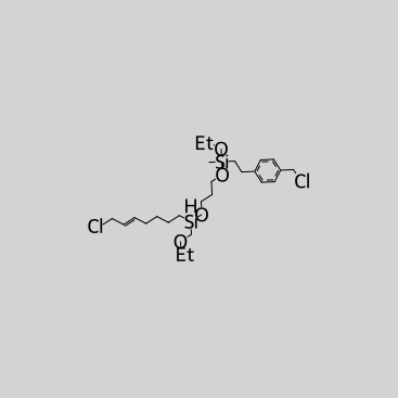 CCOC[SiH](CCCCC=CCCl)OCCCO[Si](C)(CCc1ccc(CCl)cc1)OCC